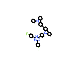 Fc1ccc(-c2nc(-c3ccc(F)cc3)nc(-c3ccc(-n4c5ccccc5c5ccc(-c6ccc7c(c6)c6ccccc6n7-c6ccccc6)cc54)cc3)n2)cc1